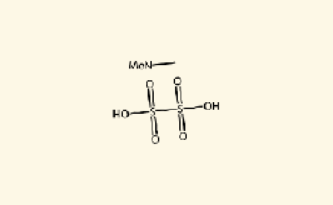 CNC.O=S(=O)(O)S(=O)(=O)O